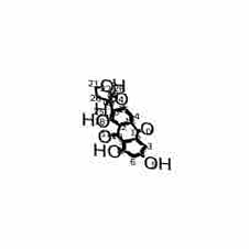 O=C1c2cc(O)cc(O)c2C(=O)c2c1cc1c(c2O)[C@@H]2CCO[C@@H]2O1